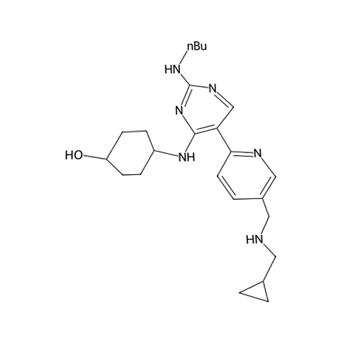 CCCCNc1ncc(-c2ccc(CNCC3CC3)cn2)c(NC2CCC(O)CC2)n1